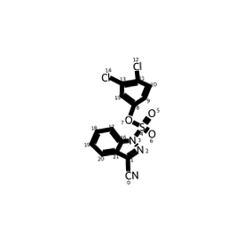 N#Cc1nn(S(=O)(=O)Oc2ccc(Cl)c(Cl)c2)c2cc[c]cc12